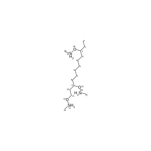 CCC(CCCCCCC(CCO[SiH2]C)O[SiH2]C)O[SiH2]C